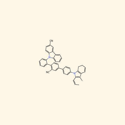 C/C=C\c1c(C)c2c(n1-c1ccc(-c3ccc(-c4ccccc4-n4c5ccccc5c5cc(C#N)ccc54)c(C#N)c3)cc1)CCC=C2